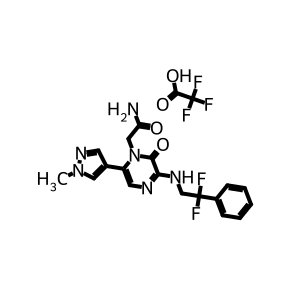 Cn1cc(-c2cnc(NCC(F)(F)c3ccccc3)c(=O)n2CC(N)=O)cn1.O=C(O)C(F)(F)F